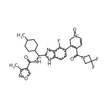 Cc1nocc1C(=O)N[C@H](c1nc2c(F)c(C3=C(C(=O)N4CC(F)(F)C4)C=C[N+](=O)C3)ccc2[nH]1)C1CCC(C)CC1